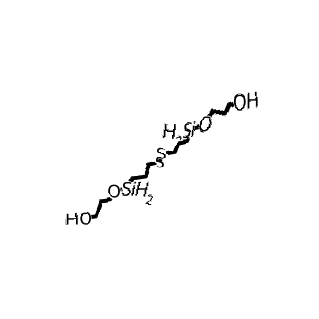 OCCCO[SiH2]CCCSSCCC[SiH2]OCCCO